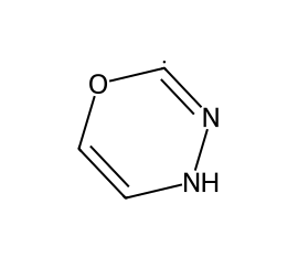 [C]1=NNC=CO1